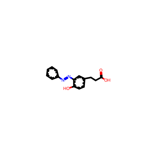 O=C(O)CCc1ccc(O)c(/N=N/c2ccccc2)c1